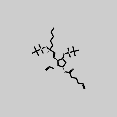 C=CCCCC(=O)O[C@H]1CC(O[Si](C)(C)C(C)(C)C)[C@H](/C=C/[C@](C)(CCCCC)O[Si](C)(C)C(C)(C)C)[C@H]1CC=C